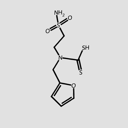 NS(=O)(=O)CCN(Cc1ccco1)C(=S)S